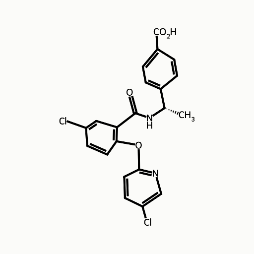 C[C@H](NC(=O)c1cc(Cl)ccc1Oc1ccc(Cl)cn1)c1ccc(C(=O)O)cc1